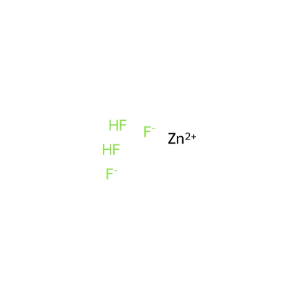 F.F.[F-].[F-].[Zn+2]